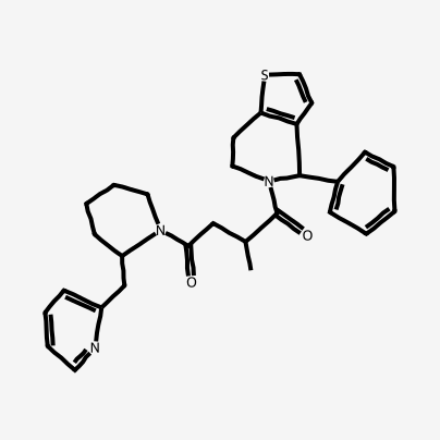 CC(CC(=O)N1CCCCC1Cc1ccccn1)C(=O)N1CCc2sccc2C1c1ccccc1